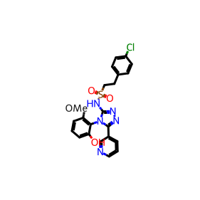 COc1cccc(O)c1-n1c(NS(=O)(=O)CCc2ccc(Cl)cc2)nnc1C1=C=C=CN=C1